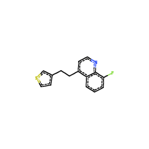 Fc1cccc2c(CCc3ccsc3)ccnc12